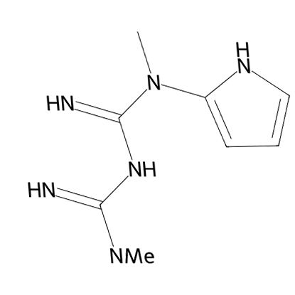 CNC(=N)NC(=N)N(C)c1ccc[nH]1